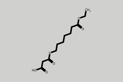 CCOC(=O)CCCCCCOC(=O)CC(=O)O